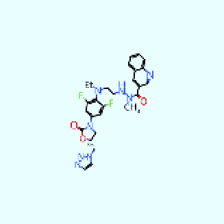 CCN(CCNN(C)C(=O)c1cnc2ccccc2c1)c1c(F)cc(N2C[C@H](Cn3ccnn3)OC2=O)cc1F